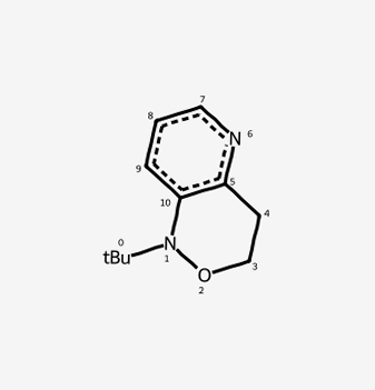 CC(C)(C)N1OCCc2ncccc21